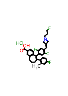 Cc1cc(F)ccc1C1=C(c2cc(F)c(C=C3CN(CCCF)C3)cc2F)c2ccc(C(=O)O)cc2CCC1.Cl